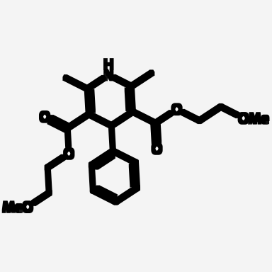 COCCOC(=O)C1=C(C)NC(C)=C(C(=O)OCCOC)C1c1ccccc1